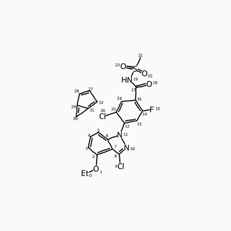 CCOc1cccc2c1c(Cl)nn2-c1cc(F)c(C(=O)NS(C)(=O)=O)cc1Cl.c1cc2cc-2c1